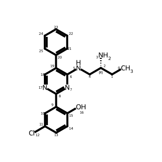 CC[C@@H](N)CNc1nc(-c2cc(Cl)ccc2O)ncc1-c1ccccc1